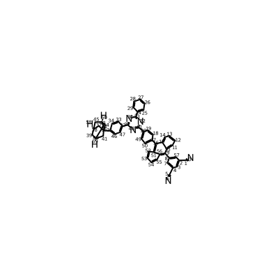 N#Cc1cc(C#N)cc(-c2c3ccccc3c(-c3ccc(-c4nc(-c5ccccc5)nc(-c5ccc(C67C[C@H]8C[C@H](C6)C[C@@H](C7)C8)cc5)n4)cc3)c3ccccc23)c1